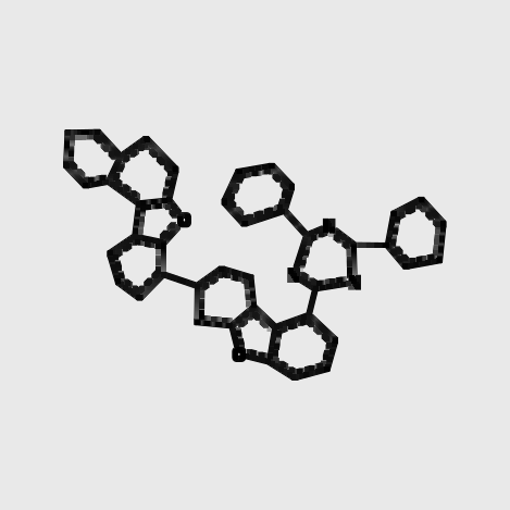 c1ccc(-c2nc(-c3ccccc3)nc(-c3cccc4oc5cc(-c6cccc7c6oc6ccc8ccccc8c67)ccc5c34)n2)cc1